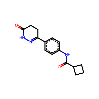 O=C1CCC(c2ccc(NC(=O)C3CCC3)cc2)=NN1